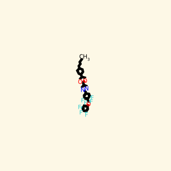 CCCCCC1CCC(C2COC(c3cnc(-c4cc(F)c(C(F)(F)Oc5cc(F)c(F)c(F)c5)c(F)c4)nc3)OC2)CC1